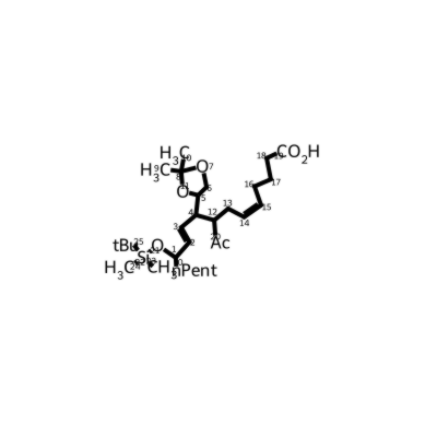 CCCCCC(/C=C/C(C1COC(C)(C)O1)C(C/C=C\CCCC(=O)O)C(C)=O)O[Si](C)(C)C(C)(C)C